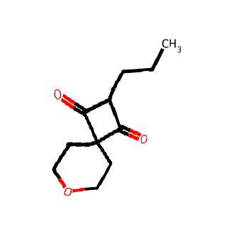 CCCC1C(=O)C2(CCOCC2)C1=O